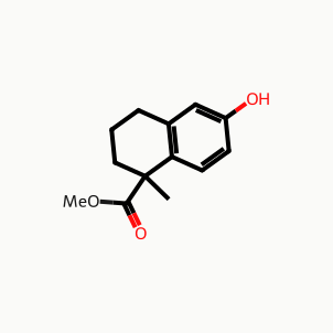 COC(=O)C1(C)CCCc2cc(O)ccc21